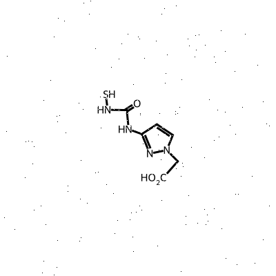 O=C(O)Cn1ccc(NC(=O)NS)n1